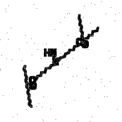 CCCCCCCCC(CCCCCC)C(=O)OCCCCCCCCCN(CCCCCCCCCOC(=O)C(CCCCCC)CCCCCCCC)CCNC